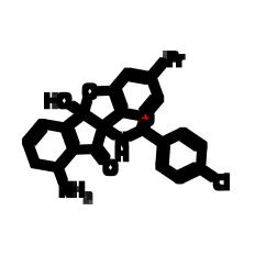 CC(C)c1ccc2c(c1)OC1(O)C3=C(C(=O)C21NC(=O)c1ccc(Cl)cc1)C(N)CC=C3